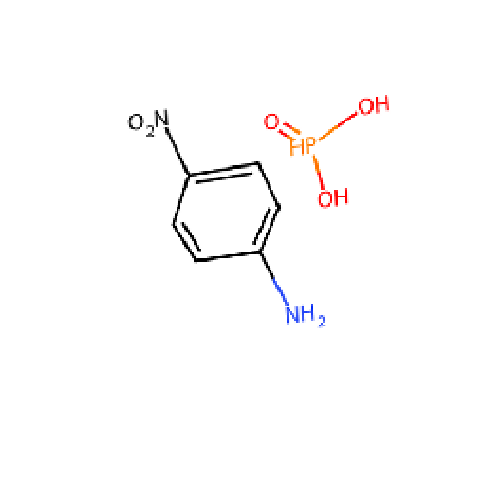 Nc1ccc([N+](=O)[O-])cc1.O=[PH](O)O